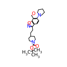 CC(C)(C)OC(=O)N1CCC(CCc2noc3c(C=O)c(N4CCCCC4)ccc23)CC1